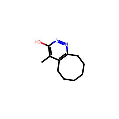 Cc1c(O)nnc2c1CCCCCC2